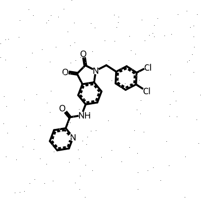 O=C(Nc1ccc2c(c1)C(=O)C(=O)N2Cc1ccc(Cl)c(Cl)c1)c1ccccn1